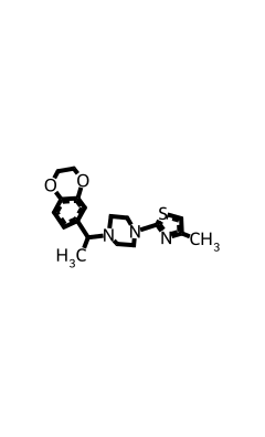 Cc1csc(N2CCN(C(C)c3ccc4c(c3)OCCO4)CC2)n1